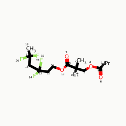 CCC(C)(COC(=O)C(C)C)C(=O)OCCC(F)(F)CC(C)(F)F